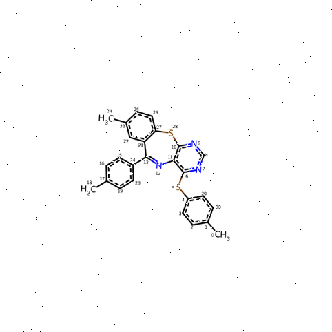 Cc1ccc(Sc2ncnc3c2N=C(c2ccc(C)cc2)c2cc(C)ccc2S3)cc1